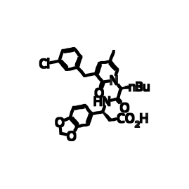 CCCC[C@@H](C(=O)N[C@@H](CC(=O)O)c1ccc2c(c1)OCO2)n1cc(C)cc(Cc2cccc(Cl)c2)c1=O